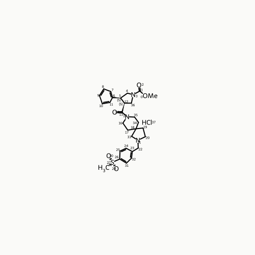 COC(=O)N1C[C@H](c2ccccc2)[C@H](C(=O)N2CCC3(CCN(Cc4ccc(S(C)(=O)=O)cc4)C3)CC2)C1.Cl